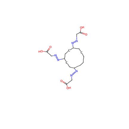 O=C(O)CN=NC1CCCCCC(N=NCC(=O)O)CCC(N=NCC(=O)O)CC1